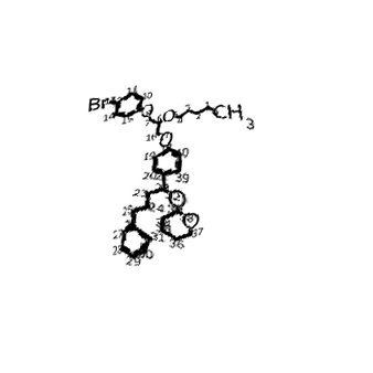 CCCCCOC(COc1ccc(Br)cc1)COc1ccc(C(CCCc2ccccc2)OC2CCCCO2)cc1